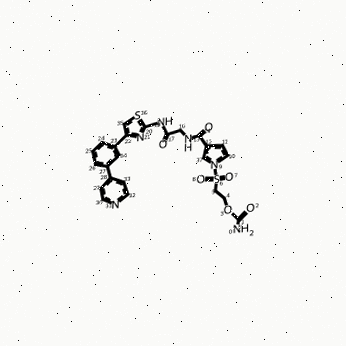 NC(=O)OCCS(=O)(=O)n1ccc(C(=O)NCC(=O)Nc2nc(-c3cccc(-c4ccncc4)c3)cs2)c1